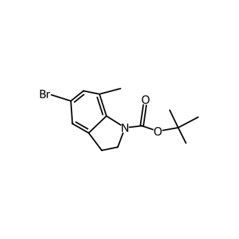 Cc1cc(Br)cc2c1N(C(=O)OC(C)(C)C)CC2